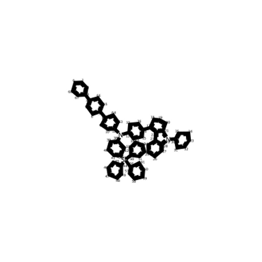 c1ccc(-c2ccc(-c3ccc(N(c4ccc(-c5cccc6c5c5ccccc5n6-c5ccccc5)cc4)c4cccc([Si](c5ccccc5)(c5ccccc5)c5ccccc5)c4)cc3)cc2)cc1